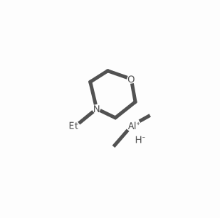 CCN1CCOCC1.[CH3][Al+][CH3].[H-]